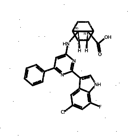 O=C(O)[C@H]1C2CCC(CC2)[C@H]1Nc1cc(-c2ccccc2)nc(-c2c[nH]c3c(F)cc(Cl)cc23)n1